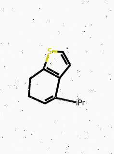 CC(C)C1=CCCc2sccc21